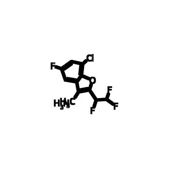 Cc1c(C(F)C(F)F)oc2c(Cl)cc(F)cc12.N